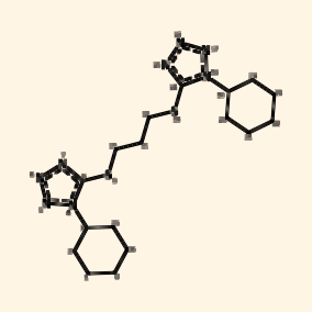 C1CCC(n2nnnc2SCCCSc2nnnn2C2CCCCC2)CC1